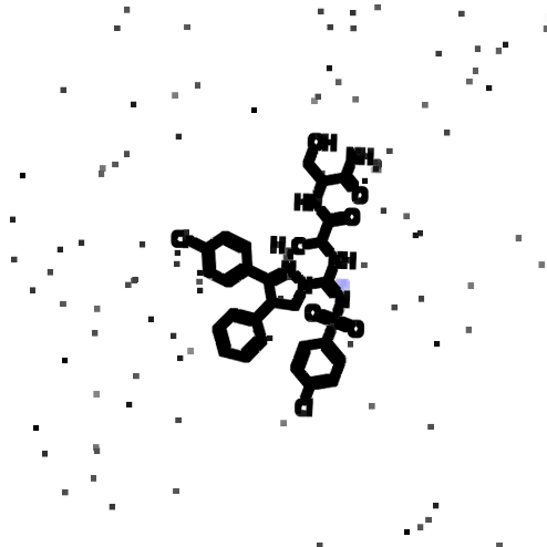 CC(N/C(=N/S(=O)(=O)c1ccc(Cl)cc1)N1CC(c2ccccc2)C(c2ccc(Cl)cc2)=N1)C(=O)NC(CO)C(N)=O